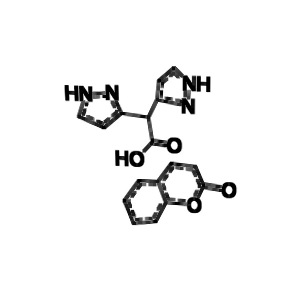 O=C(O)C(c1cc[nH]n1)c1cc[nH]n1.O=c1ccc2ccccc2o1